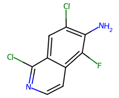 Nc1c(Cl)cc2c(Cl)nccc2c1F